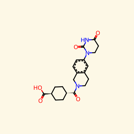 O=C1CCN(c2ccc3c(c2)CCN(C(=O)[C@H]2CC[C@H](C(=O)O)CC2)C3)C(=O)N1